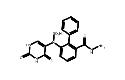 NNC(=O)c1cccc(N(c2c[nH]c(=O)[nH]c2=O)S(=O)(=O)O)c1-c1ccccc1